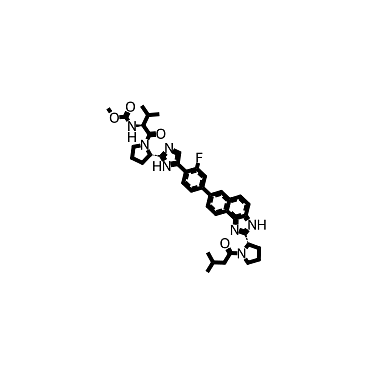 COC(=O)N[C@H](C(=O)N1CCC[C@H]1c1ncc(-c2ccc(-c3ccc4c(ccc5[nH]c([C@@H]6CCCN6C(=O)CC(C)C)nc54)c3)cc2F)[nH]1)C(C)C